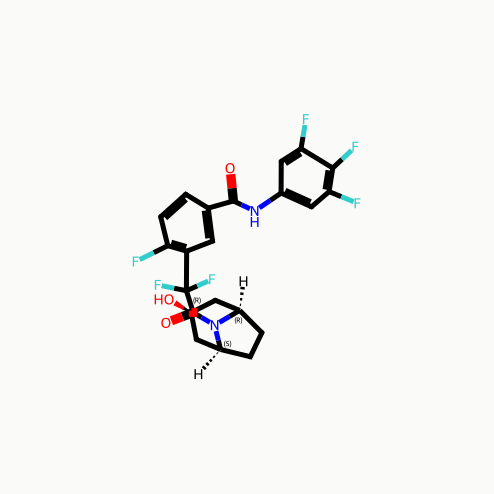 O=C(Nc1cc(F)c(F)c(F)c1)c1ccc(F)c(C(F)(F)C(=O)N2[C@@H]3CC[C@H]2C[C@@H](O)C3)c1